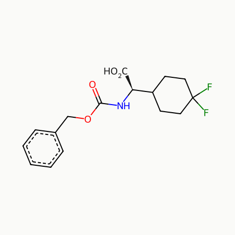 O=C(N[C@@H](C(=O)O)C1CCC(F)(F)CC1)OCc1ccccc1